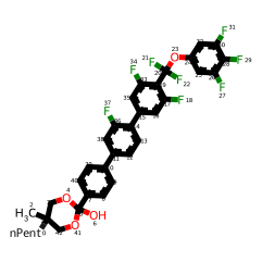 CCCCCC1(C)COC(O)(c2ccc(-c3ccc(-c4cc(F)c(C(F)(F)Oc5cc(F)c(F)c(F)c5)c(F)c4)c(F)c3)cc2)OC1